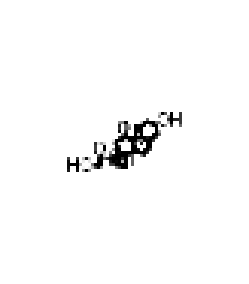 C[C@]12CC(=O)[C@H]3[C@@H](CCC4CC(O)CC[C@@]43C)[C@@H]1CC[C@@H]2C(=O)CO